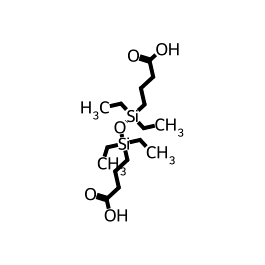 CC[Si](CC)(CCCC(=O)O)O[Si](CC)(CC)CCCC(=O)O